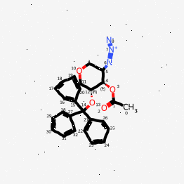 CC(=O)O[C@@H]1C(N=[N+]=[N-])COC[C@H]1OC(c1ccccc1)(c1ccccc1)c1ccccc1